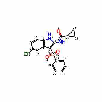 O=C(Nc1[nH]c2ccc(Cl)cc2c1S(=O)(=O)c1ccccc1)C1CC1